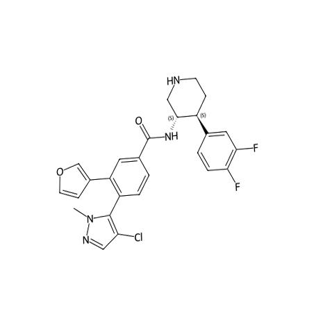 Cn1ncc(Cl)c1-c1ccc(C(=O)N[C@@H]2CNCC[C@H]2c2ccc(F)c(F)c2)cc1-c1ccoc1